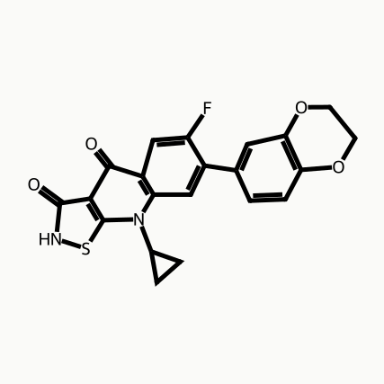 O=c1[nH]sc2c1c(=O)c1cc(F)c(-c3ccc4c(c3)OCCO4)cc1n2C1CC1